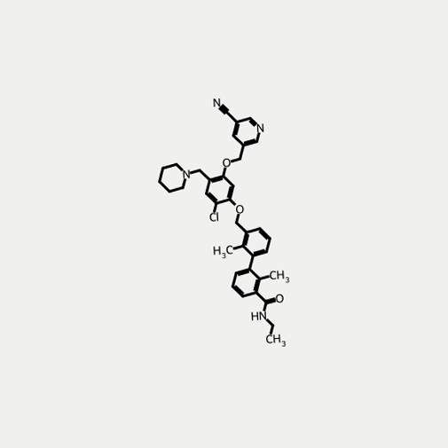 CCNC(=O)c1cccc(-c2cccc(COc3cc(OCc4cncc(C#N)c4)c(CN4CCCCC4)cc3Cl)c2C)c1C